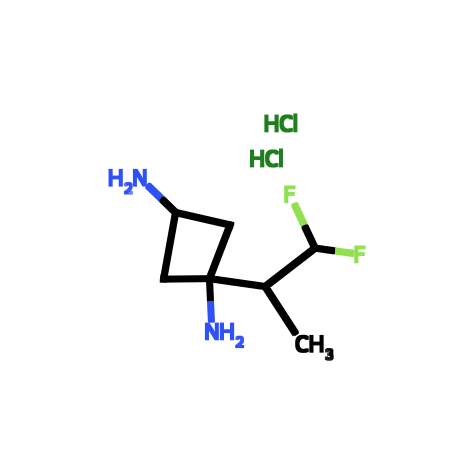 CC(C(F)F)C1(N)CC(N)C1.Cl.Cl